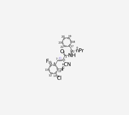 CCC[C@H](NC(=O)/C(C#N)=C/c1c(F)ccc(Cl)c1F)c1ccccc1